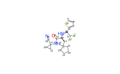 CC1(C[C@H](N[C@@H](c2cccs2)C(F)F)C(=O)NC2(C#N)CC2)CCCC1